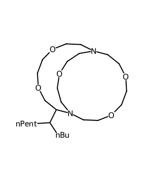 CCCCCC(CCCC)C1COCCOCCN2CCOCCOCCN1CCOCC2